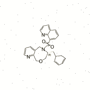 O=S(=O)(c1cccc2cccnc12)N1Cc2cccnc2COC[C@H]1CC1C=CC=CC1